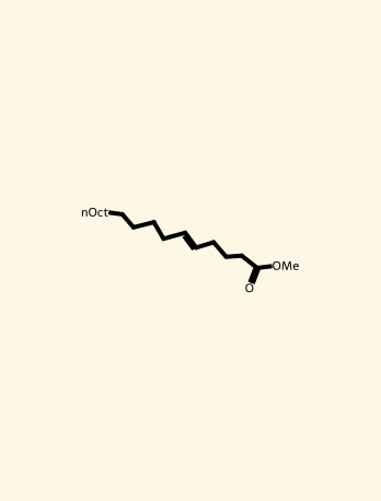 CCCCCCCCCCCCC=CCCCC(=O)OC